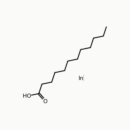 CCCCCCCCCCCC(=O)O.[In]